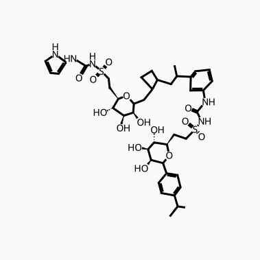 CC(C)c1ccc(C2O[C@H](CCS(=O)(=O)NC(=O)Nc3cccc(C(C)CC4CCC4CC4O[C@H](CCS(=O)(=O)NC(=O)Nc5ccc[nH]5)[C@@H](O)[C@H](O)[C@@H]4O)c3)[C@@H](O)[C@H](O)[C@@H]2O)cc1